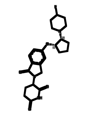 O=C1CCC(N2Cc3cc(O[C@H]4CCC[C@H]4N4CCC(F)CC4)ccc3C2=O)C(=O)N1